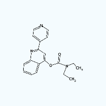 CCN(CC)C(=O)Oc1cc(-c2ccncc2)nc2ccccc12